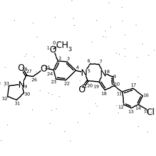 COc1cc(N2CCn3cc(-c4ccc(Cl)cc4)cc3C2=O)ccc1OCC(=O)N1CCCC1